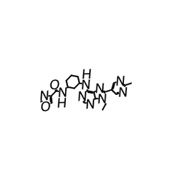 CCn1c(-c2cnc(C)nc2)nc2c(NC3CCCC(NC(=O)c4cocn4)C3)ncnc21